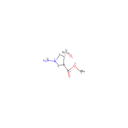 C=O.CC(C)(C)OC(=O)C1CCN(N)C1